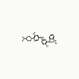 COc1cc(Nc2ncc(Cl)c(Nc3ccccc3P(C)(C)=O)n2)cnc1N1CCC(N(C)C)CC1